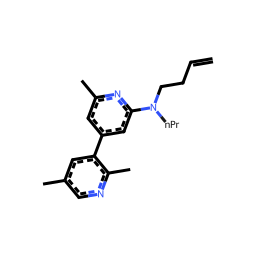 C=CCCN(CCC)c1cc(-c2cc(C)cnc2C)cc(C)n1